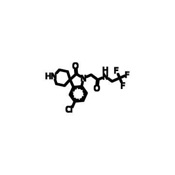 O=C(CN1C(=O)C2(CCNCC2)c2cc(Cl)ccc21)NCC(F)(F)F